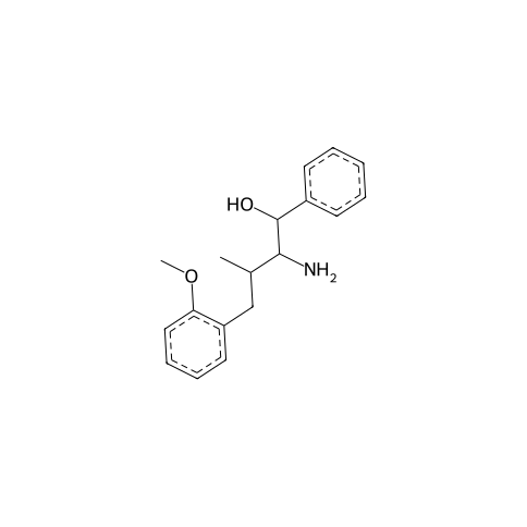 COc1ccccc1CC(C)C(N)C(O)c1ccccc1